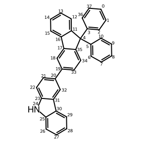 c1ccc(C2(c3ccccc3)c3ccccc3-c3cc(-c4ccc5[nH]c6ccccc6c5c4)ccc32)cc1